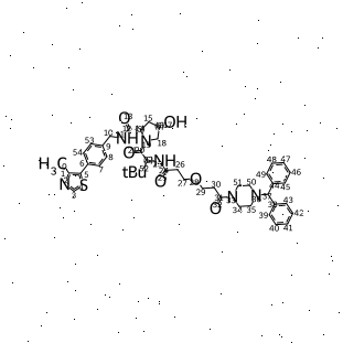 Cc1ncsc1-c1ccc(CNC(=O)[C@@H]2C[C@H](O)CN2C(=O)[C@@H](NC(=O)CCOCCC(=O)N2CCN(C(c3ccccc3)c3ccccc3)CC2)C(C)(C)C)cc1